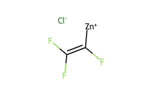 FC(F)=[C](F)[Zn+].[Cl-]